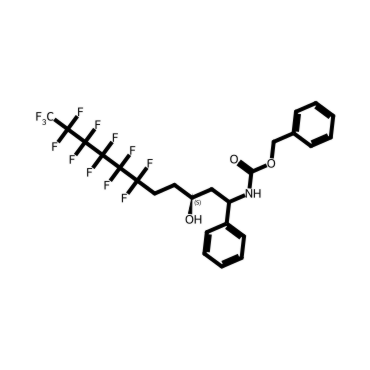 O=C(NC(C[C@@H](O)CCC(F)(F)C(F)(F)C(F)(F)C(F)(F)C(F)(F)C(F)(F)F)c1ccccc1)OCc1ccccc1